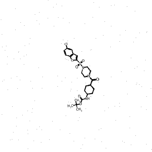 CC(C)(C)OC(=O)NC1CCC(C(=O)N2CCN(S(=O)(=O)c3cc4cc(Cl)ccc4o3)CC2)CC1